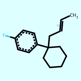 C/C=C/CC1(c2ccc(F)cc2)CCCCC1